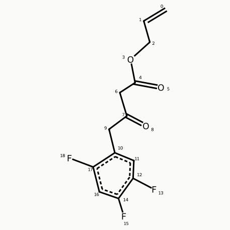 C=CCOC(=O)CC(=O)Cc1cc(F)c(F)cc1F